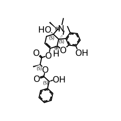 Cc1ccc(O)c2c1[C@]13CCN(C)[C@H](C)[C@]1(O)CC=C(OC(=O)[C@H](C)OC(=O)[C@@H](O)c1ccccc1)[C@@H]3O2